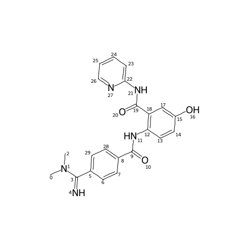 CN(C)C(=N)c1ccc(C(=O)Nc2ccc(O)cc2C(=O)Nc2ccccn2)cc1